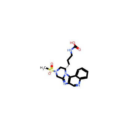 CS(=O)(=O)N1Cc2nc3cnc4ccccc4c3n2[C@@H](CCCNC(=O)O)C1